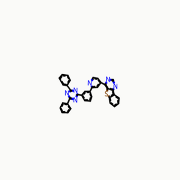 c1ccc(-c2nc(-c3ccccc3)nc(-c3cccc(-c4cc(-c5ncnc6c5sc5ccccc56)ccn4)c3)n2)cc1